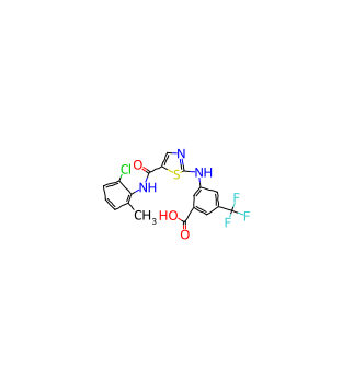 Cc1cccc(Cl)c1NC(=O)c1cnc(Nc2cc(C(=O)O)cc(C(F)(F)F)c2)s1